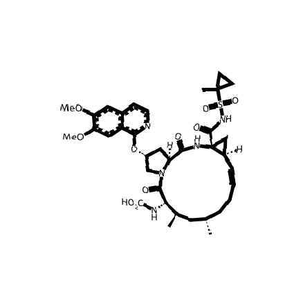 COc1cc2ccnc(O[C@@H]3C[C@H]4C(=O)N[C@]5(C(=O)NS(=O)(=O)C6(C)CC6)C[C@H]5C=CCC[C@H](C)C[C@@H](C)[C@H](NC(=O)O)C(=O)N4C3)c2cc1OC